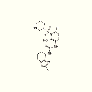 Cc1cc2c(o1)C(NC(=O)Nc1ccc(Cl)c(S(=O)(=O)C3CCCNC3)c1O)CCC2